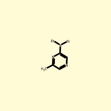 CCN(CC)c1cncc(C)n1